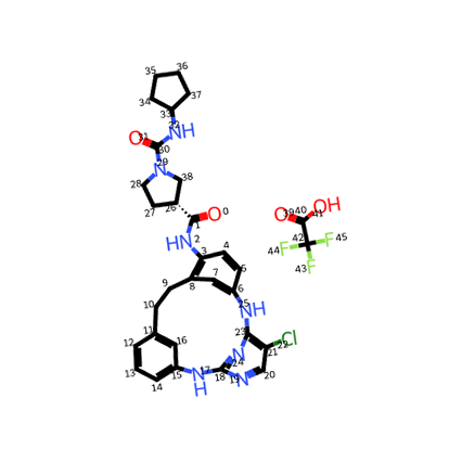 O=C(Nc1ccc2cc1CCc1cccc(c1)Nc1ncc(Cl)c(n1)N2)[C@@H]1CCN(C(=O)NC2CCCC2)C1.O=C(O)C(F)(F)F